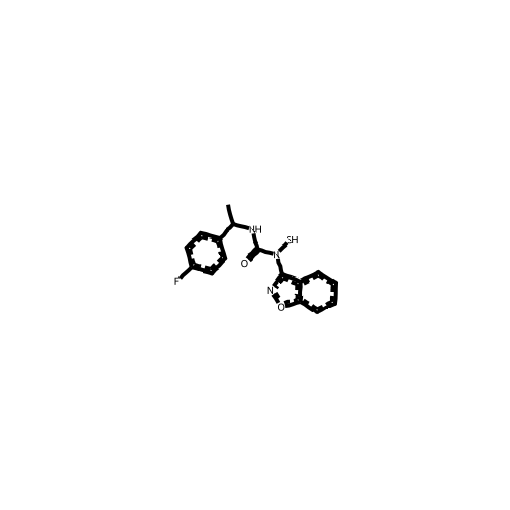 CC(NC(=O)N(S)c1noc2ccccc12)c1ccc(F)cc1